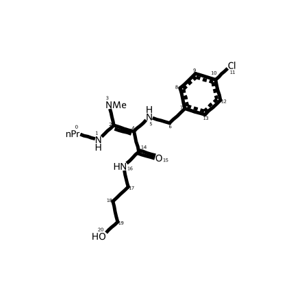 CCCN/C(NC)=C(/NCc1ccc(Cl)cc1)C(=O)NCCCO